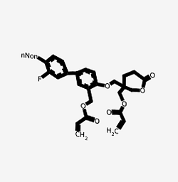 C=CC(=O)OCc1cc(-c2ccc(CCCCCCCCC)c(F)c2)ccc1OCC1(COC(=O)C=C)CCC(=O)OC1